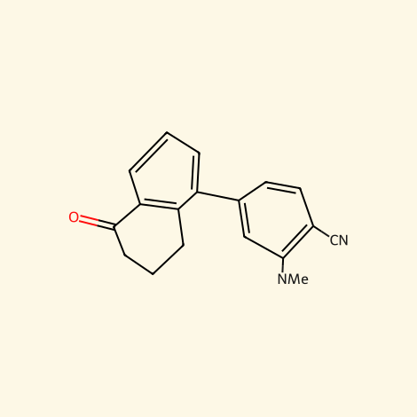 CNc1cc(-c2cccc3c2CCCC3=O)ccc1C#N